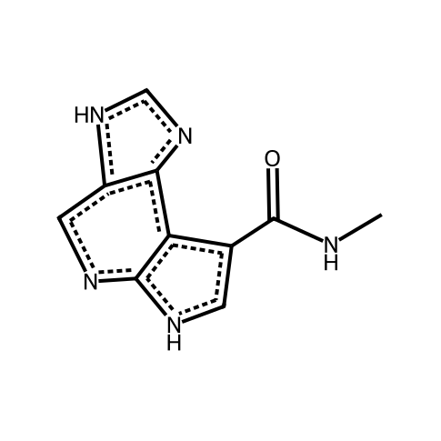 CNC(=O)c1c[nH]c2ncc3[nH]cnc3c12